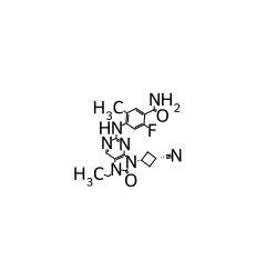 CCn1c(=O)n([C@H]2C[C@@H](C#N)C2)c2nc(Nc3cc(F)c(C(N)=O)cc3C)ncc21